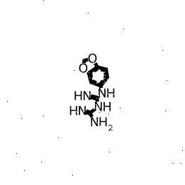 N=C(N)NC(=N)Nc1ccc2c(c1)OCO2